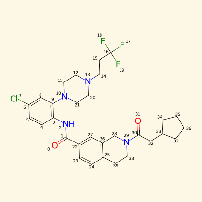 O=C(Nc1ccc(Cl)cc1N1CCN(CCC(F)(F)F)CC1)c1ccc2c(c1)CN(C(=O)CC1CCCC1)CC2